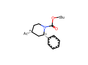 CC(=O)[C@@H]1CCN(C(=O)OC(C)(C)C)[C@H](c2ccccc2)C1